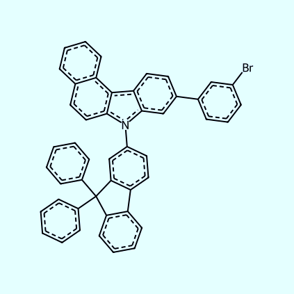 Brc1cccc(-c2ccc3c4c5ccccc5ccc4n(-c4ccc5c(c4)C(c4ccccc4)(c4ccccc4)c4ccccc4-5)c3c2)c1